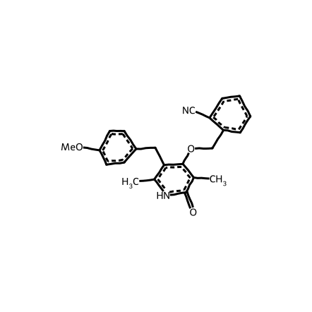 COc1ccc(Cc2c(C)[nH]c(=O)c(C)c2OCc2ccccc2C#N)cc1